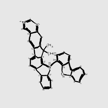 CC1(C)c2cc3ncncc3cc2-c2ccc3c4ccccc4n(-c4cccc5c4oc4ccccc45)c3c21